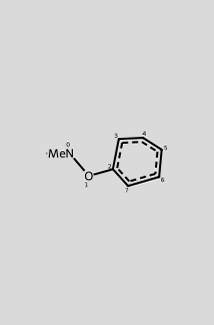 C[N]Oc1ccccc1